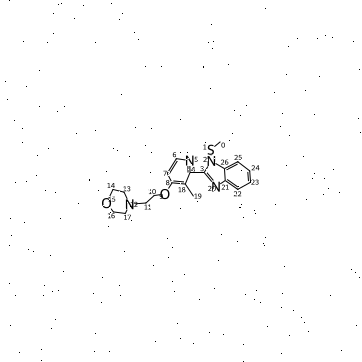 CSn1c(-c2nccc(OCCN3CCOCC3)c2C)nc2ccccc21